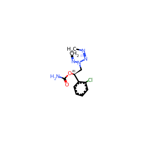 C=NN(C[C@H](OC(N)=O)c1ccccc1Cl)/N=N\C